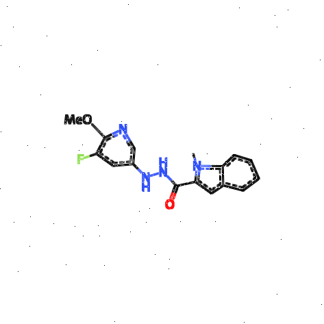 COc1ncc(NNC(=O)c2cc3ccccc3n2C)cc1F